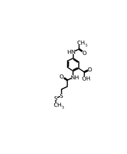 CSSCCC(=O)Nc1ccc(NC(C)=O)cc1C(=O)O